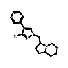 Oc1nn(CC2CCC3CCCCN32)cc1-c1ccccc1